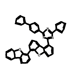 C1=CC2Oc3c(-c4cccc5c4oc4cccc(-c6nc(-c7ccccc7)nc(-c7ccc(-c8ccccc8)cc7)n6)c45)cccc3C2C=C1